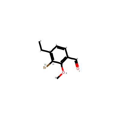 CCc1ccc(C=O)c(OC)c1Br